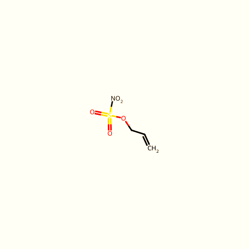 C=CCOS(=O)(=O)[N+](=O)[O-]